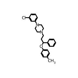 Cc1ccc(OC(CCN2CCN(c3cccc(Cl)c3)CC2)c2ccccc2)cc1